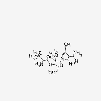 C#Cc1cn(C2OC(CO)C(OC(=O)C(N)C(C)C)[C@@]2(C)O)c2ncnc(N)c12